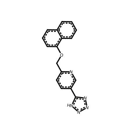 c1ccc2c(OCc3ccc(-c4nnn[nH]4)cn3)cccc2c1